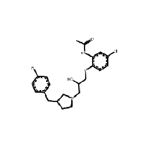 CC(=O)Nc1cc(Cl)ccc1OCC(O)CN1CCC(Cc2ccc(Cl)cc2)C1